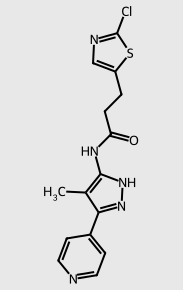 Cc1c(-c2ccncc2)n[nH]c1NC(=O)CCc1cnc(Cl)s1